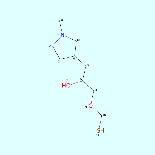 CN1CCC(CC(O)COCS)C1